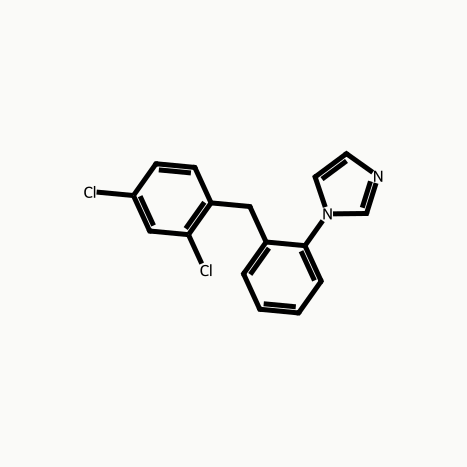 Clc1ccc(Cc2ccccc2-n2ccnc2)c(Cl)c1